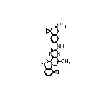 Cc1cn(-c2c(Cl)cccc2Cl)c(=O)c2nnc(Nc3ccc4c(c3)CN(C)CC43CC3)nc12